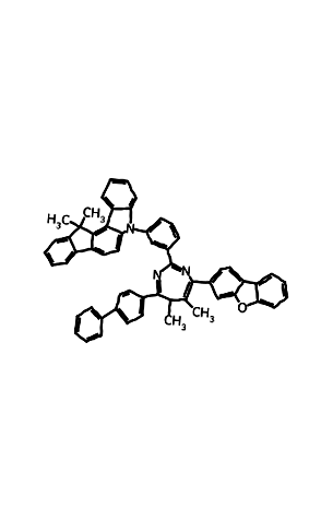 CC1=C(c2ccc3c(c2)oc2ccccc23)N=C(c2cccc(-n3c4ccccc4c4c5c(ccc43)-c3ccccc3C5(C)C)c2)N=C(c2ccc(-c3ccccc3)cc2)C1C